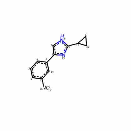 O=[N+]([O-])c1cccc(-c2c[nH]c(C3CC3)n2)c1